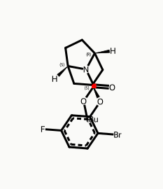 CC(C)(C)OC(=O)N1[C@@H]2CC[C@H]1C[C@H](Oc1cc(F)ccc1Br)C2